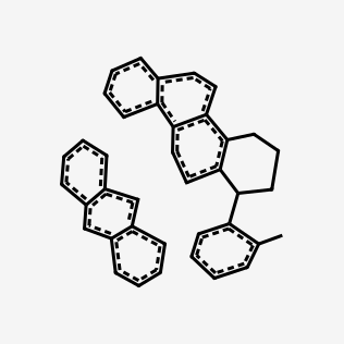 Cc1ccccc1C1CCCc2c1ccc1c2ccc2ccccc21.c1ccc2cc3ccccc3cc2c1